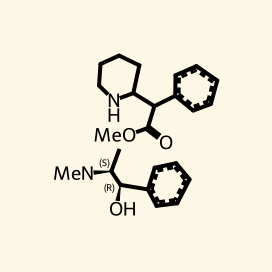 CN[C@@H](C)[C@H](O)c1ccccc1.COC(=O)C(c1ccccc1)C1CCCCN1